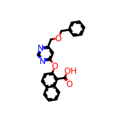 O=C(O)c1c(Oc2cc(COCc3ccccc3)ncn2)ccc2ccccc12